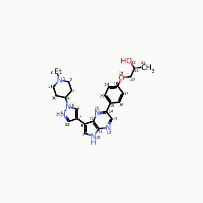 CCN1CCC(n2cc(-c3c[nH]c4ncc(-c5ccc(OC[C@H](C)O)cc5)nc34)cn2)CC1